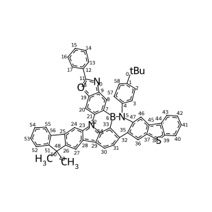 CC(C)(C)c1ccc(N2B3c4cc5nc(-c6ccccc6)oc5cc4-n4c5cc6c(cc5c5ccc(c3c54)-c3cc4sc5ccccc5c4cc32)C(C)(C)c2ccccc2-6)cc1